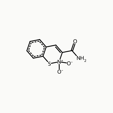 NC(=O)C1=Cc2ccccc2S[N+]1([O-])[O-]